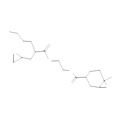 CCCCC(CC1CO1)C(=O)OCCOC(=O)C1CCC2(C)OC2C1